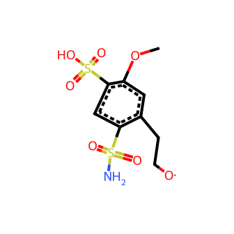 COc1cc(CC[O])c(S(N)(=O)=O)cc1S(=O)(=O)O